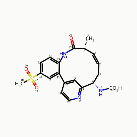 C[C@@H]1C=CC[C@H](NC(=O)O)c2cc(ccn2)-c2cc(S(C)(=O)=O)ccc2NC1=O